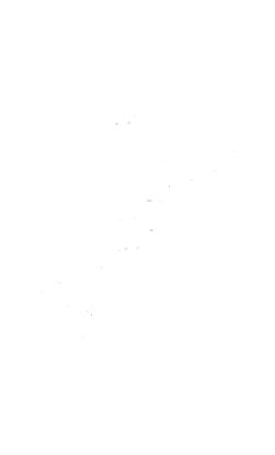 Cc1cccc(N(c2ccc(-c3ccccc3)cc2)c2ccc3cc(-c4ccc5c(c4)c4ccccc4n5-c4ccccc4)ccc3c2)c1